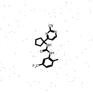 Cc1ccc(C(F)(F)F)cc1NC(=O)NC1(c2ccnc(C#N)n2)CCCC1